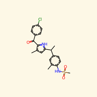 Cc1cc(C(C)c2cc(C)c(C(=O)c3ccc(Cl)cc3)[nH]2)ccc1NS(C)(=O)=O